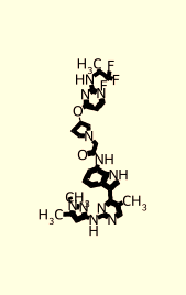 Cc1cnc(Nc2cc(C)n(C)n2)nc1-c1c[nH]c2c(NC(=O)CN3CC[C@H](Oc4ccnc(NC(C)C(F)(F)F)n4)C3)cccc12